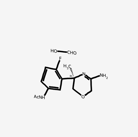 CC(=O)Nc1ccc(F)c([C@]2(C)COCC(N)=N2)c1.O=CO